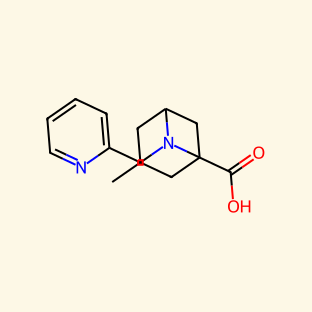 CC1CC2CC(C(=O)O)(C1)N2Cc1ccccn1